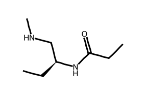 CCC(=O)N[C@@H](CC)CNC